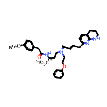 COc1ccc(CC(=O)N[C@@H](CCN(CCCCc2ccc3c(n2)NCCC3)CCOc2ccccc2)C(=O)O)cc1